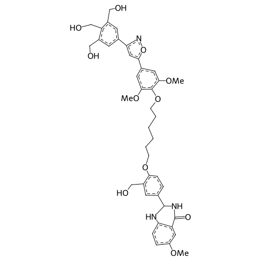 COc1ccc2c(c1)C(=O)NC(c1ccc(OCCCCCCOc3c(OC)cc(-c4cc(-c5cc(CO)c(CO)c(CO)c5)no4)cc3OC)c(CO)c1)N2